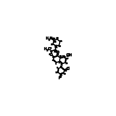 C[C@@H](Oc1ccc2c(-c3ccc(F)cc3Cl)ccnc2c1)C(=O)N1CCC[C@H](N)C1.Cl